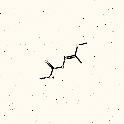 CNC(=O)O/N=C(\C)OC